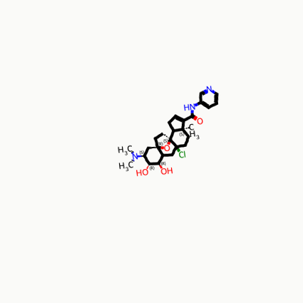 CN(C)[C@H]1C[C@@]23CC[C@]4(O2)C2CC=C(C(=O)Nc5cccnc5)[C@@]2(C)CCC4(Cl)CC3[C@@H](O)[C@@H]1O